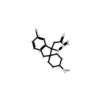 COC(=O)CC1(N=C=S)c2cc(Br)ccc2CC12CCC(OC)CC2